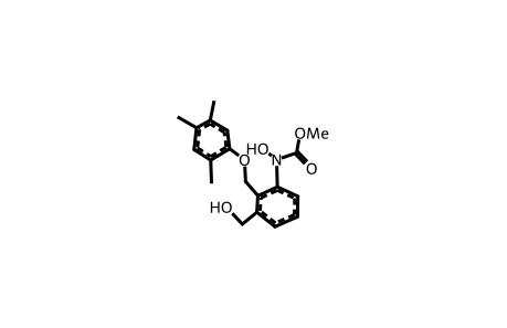 COC(=O)N(O)c1cccc(CO)c1COc1cc(C)c(C)cc1C